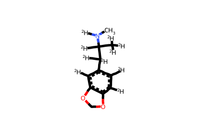 [2H]c1c([2H])c(C([2H])([2H])C([2H])(N([2H])C)C([2H])([2H])[2H])c([2H])c2c1OCO2